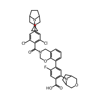 O=C(O)c1cc(F)c(-c2cccc3c2OCN(C(=O)c2c(Cl)cc(N4CC5CCC(C4)N5C4CC4)cc2Cl)C3)cc1N1C2CCC1COC2